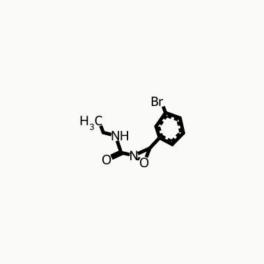 CCNC(=O)N1OC1c1cccc(Br)c1